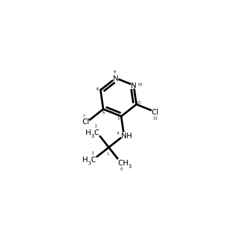 CC(C)(C)Nc1c(Cl)cnnc1Cl